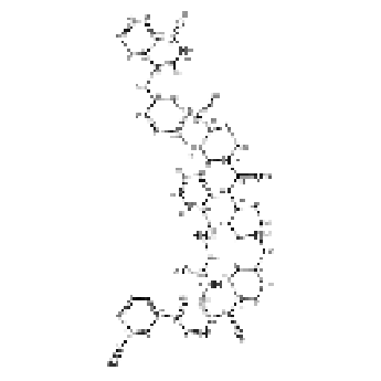 N#Cc1cccc(-c2cnc(C(=O)N3CCC(CN4CCN(CC(=O)N5CCN(C(=O)c6cc(Cc7n[nH]c(=O)c8ccccc78)ccc6F)CC5)CC4)CC3)c(NC(=O)CNCc3ccncn3)c2)c1